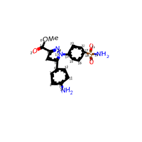 COC(=O)c1cc(-c2ccc(N)cc2)n(-c2ccc(S(N)(=O)=O)cc2)n1